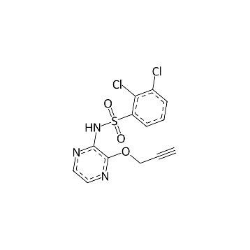 C#CCOc1nccnc1NS(=O)(=O)c1cccc(Cl)c1Cl